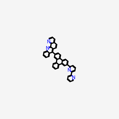 c1ccc(-c2cccc(-c3ccc4c5ccc(-c6c7ccccc7nc7c6ccc6cccnc67)cc5c5ccccc5c4c3)n2)nc1